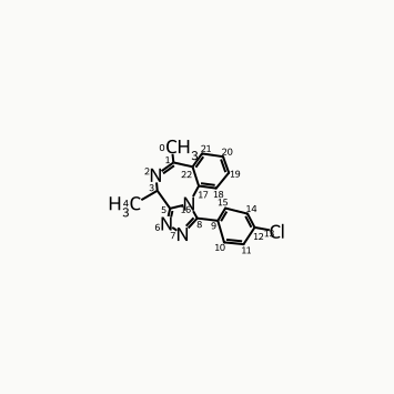 CC1=NC(C)c2nnc(-c3ccc(Cl)cc3)n2-c2ccccc21